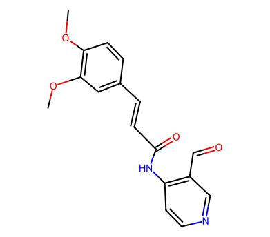 COc1ccc(/C=C/C(=O)Nc2ccncc2C=O)cc1OC